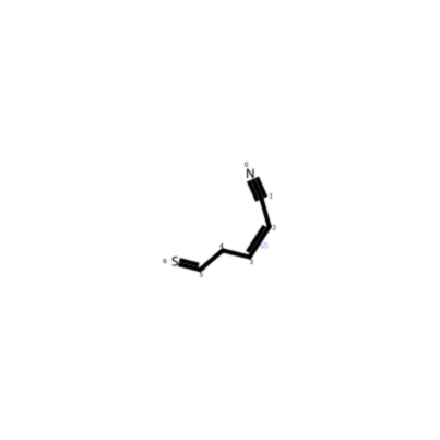 N#C/C=C\C[C]=S